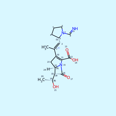 C/C(=C\[C@@H]1CCCN1C=N)C1=C(C(=O)O)N2C(=O)[C@H]([C@@H](C)O)[C@H]2C1